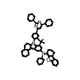 CC1(C)c2cc(-c3cc(-c4ccccc4)nc(-c4ccccc4)n3)ccc2-n2c3ccc4ccccc4c3c3cc(N(c4ccccc4)c4cccc5c4oc4ccccc45)cc1c32